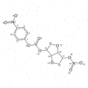 O=C(Oc1ccc([N+](=O)[O-])cc1)OC1COC2C(O[N+](=O)[O-])COC12